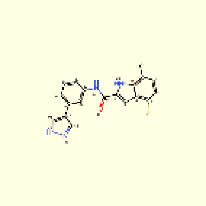 Cc1ccc(F)c2cc(C(=O)Nc3cccc(-c4cn[nH]c4)c3)[nH]c12